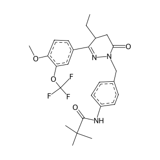 CCC1CC(=O)N(Cc2ccc(NC(=O)C(C)(C)C)cc2)N=C1c1ccc(OC)c(OC(F)(F)F)c1